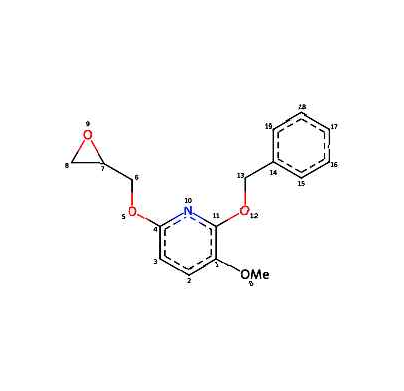 COc1ccc(OCC2CO2)nc1OCc1ccccc1